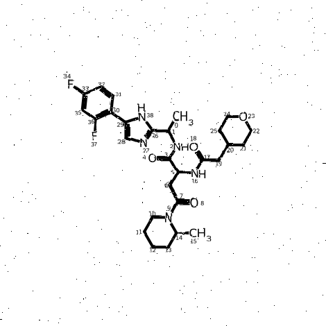 CC(NC(=O)C(CC(=O)N1CCCC[C@@H]1C)NC(=O)CC1CCOCC1)c1ncc(-c2ccc(F)cc2F)[nH]1